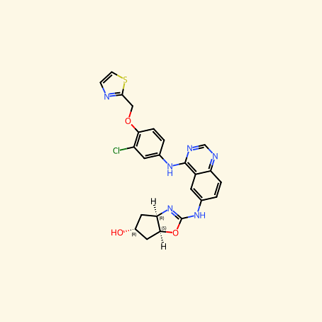 O[C@H]1C[C@@H]2OC(Nc3ccc4ncnc(Nc5ccc(OCc6nccs6)c(Cl)c5)c4c3)=N[C@@H]2C1